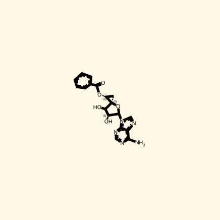 Nc1ncnc2c1ncn2C1O[C@@]2(C[C@H]2OC(=O)c2ccccc2)C(O)[C@@H]1O